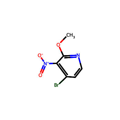 COc1nccc(Br)c1[N+](=O)[O-]